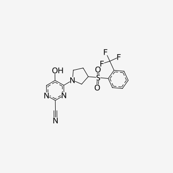 N#Cc1ncc(O)c(N2CCC(S(=O)(=O)c3ccccc3C(F)(F)F)C2)n1